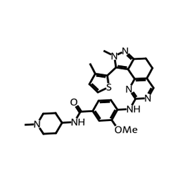 COc1cc(C(=O)NC2CCN(C)CC2)ccc1Nc1ncc2c(n1)-c1c(nn(C)c1-c1sccc1C)CC2